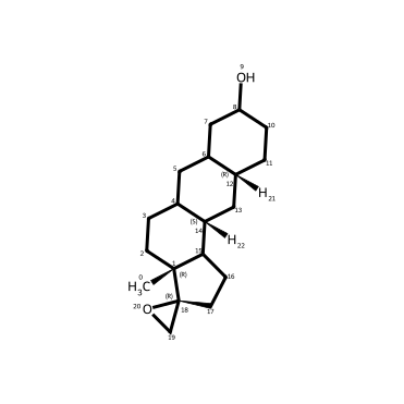 C[C@@]12CCC3CC4CC(O)CC[C@@H]4C[C@@H]3C1CC[C@]21CO1